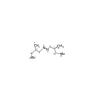 CC(CN=NCC(C)CC(C)(C)C)CC(C)(C)C